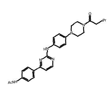 CC(=O)Nc1ccc(-c2ccnc(Nc3ccc(N4CCN(C(=O)CC(C)C)CC4)cc3)n2)cc1